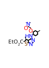 CCOC(=O)c1sc2ncnc(Nc3ccc(C)cc3OCC(=O)N(C)C)c2c1C